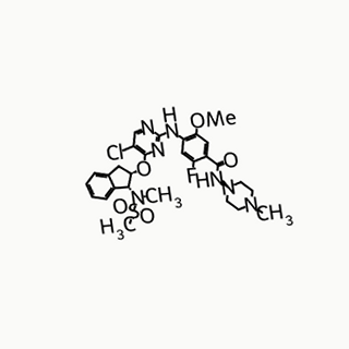 COc1cc(C(=O)NN2CCN(C)CC2)c(F)cc1Nc1ncc(Cl)c(O[C@@H]2Cc3ccccc3[C@H]2N(C)S(C)(=O)=O)n1